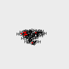 CC1C(O)[C@H](O[C@@H]2OC(CO)[C@H](O)[C@H](O[C@]3(C(=O)O)C[C@@H](O)[C@@H](N)C([C@@H](O)[C@H](O)CO)O3)C2O)[C@H](CO)O[C@H]1O[C@@H]1C(O)[C@H](O)C(CO)O[C@@H]1OCC1O[C@@H](O[C@@H]2C(CO)O[C@@H](O[C@@H]3C(CO)O[C@@H](C)[C@@H](C)C3O)[C@@H](C)C2O)[C@H](O)C(O[C@H]2O[C@H](CO)[C@@H](O)C(O)C2O)[C@@H]1O